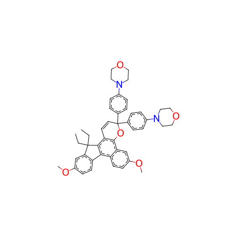 CCC1(CC)c2cc(OC)ccc2-c2c1c1c(c3cc(OC)ccc23)OC(c2ccc(N3CCOCC3)cc2)(c2ccc(N3CCOCC3)cc2)C=C1